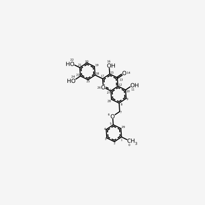 Cc1cccc(OCc2cc(O)c3c(=O)c(O)c(-c4ccc(O)c(O)c4)oc3c2)c1